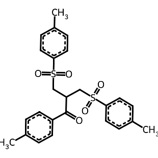 Cc1ccc(C(=O)C(CS(=O)(=O)c2ccc(C)cc2)CS(=O)(=O)c2ccc(C)cc2)cc1